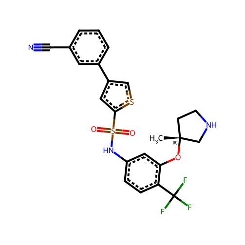 C[C@@]1(Oc2cc(NS(=O)(=O)c3cc(-c4cccc(C#N)c4)cs3)ccc2C(F)(F)F)CCNC1